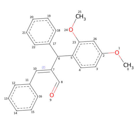 COc1ccc(C(/C(C=O)=C/c2ccccc2)c2ccccc2)c(OC)c1